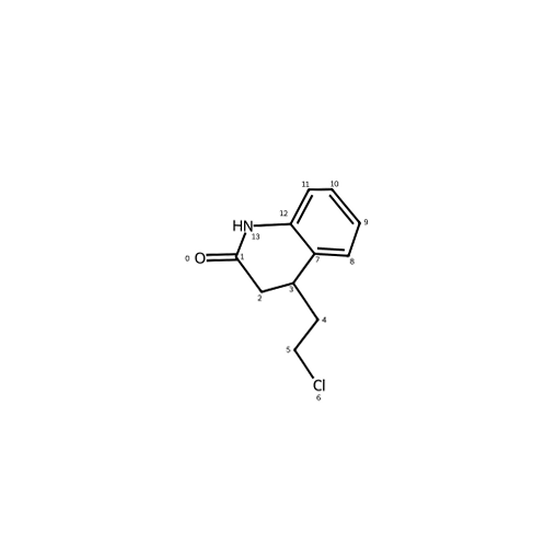 O=C1CC(CCCl)c2ccccc2N1